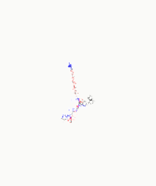 Cc1ccnc(N(CCCC(=O)NCC(=O)N[C@@H](CC(=O)NCCOCCOCCOCCOCCOCCN=[N+]=[N-])c2ccc(-c3cccc4ccccc34)cc2)C(=O)OC(C)(C)C)c1